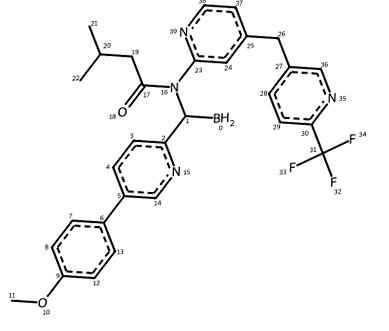 BC(c1ccc(-c2ccc(OC)cc2)cn1)N(C(=O)CC(C)C)c1cc(Cc2ccc(C(F)(F)F)nc2)ccn1